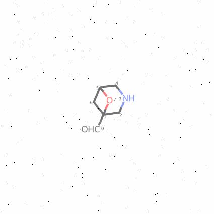 O=[C]C12CNCC(C1)O2